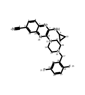 N#Cc1ccc2nc(NC3CC3)c(N3CCN(Cc4cc(F)ccc4F)CC3)nc2c1